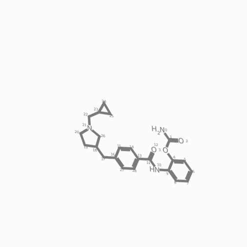 NC(=O)Oc1ccccc1NC(=O)c1ccc(CC2CCN(CC3CC3)C2)cc1